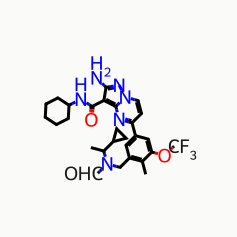 Cc1c(CN(C=O)C(C)C2CC2)cc(-c2ccn3nc(N)c(C(=O)NC4CCCCC4)c3n2)cc1OC(F)(F)F